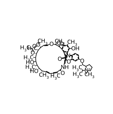 CO[C@H]1/C=C/O[C@@]2(C)Oc3c(C)c(O)c4c(=O)c(c5oc6cc(OCC7CCC[N+]7(C)C(C)C)ccc6nc-5c4c3C2=O)NC(=O)/C(C)=C\C=C\[C@H](C)[C@H](O)[C@@H](C)[C@@H](O)[C@@H](C)[C@H](OC(C)=O)[C@@H]1C